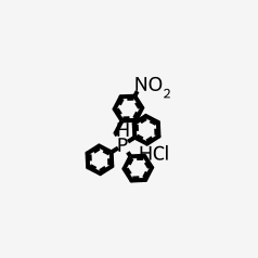 Cl.O=[N+]([O-])c1ccc(C[PH](c2ccccc2)(c2ccccc2)c2ccccc2)cc1